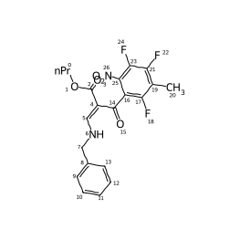 CCCOC(=O)C(=CNCc1ccccc1)C(=O)c1c(F)c(C)c(F)c(F)c1[N+](=O)[O-]